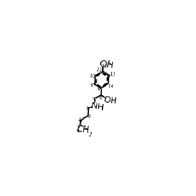 CCCCNCC(O)c1ccc(O)cc1